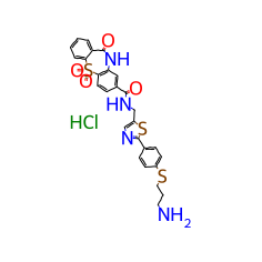 Cl.NCCCSc1ccc(-c2ncc(CNC(=O)c3ccc4c(c3)NC(=O)c3ccccc3S4(=O)=O)s2)cc1